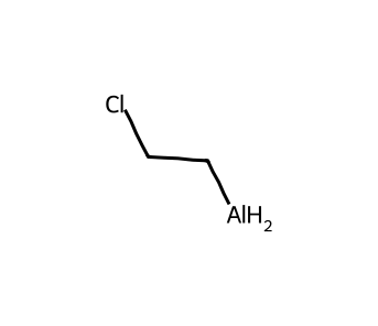 [AlH2][CH2]CCl